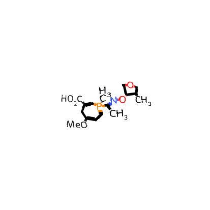 COC1=CC=P(C)(/C(C)=N/OC2COCC2C)C=C(C(=O)O)C1